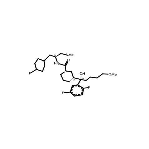 CNC[C@H](CC1CCC(F)CC1)NC(=O)N1CCC[C@@H]([C@@](O)(CCCCOC)c2cc(F)ccc2F)C1